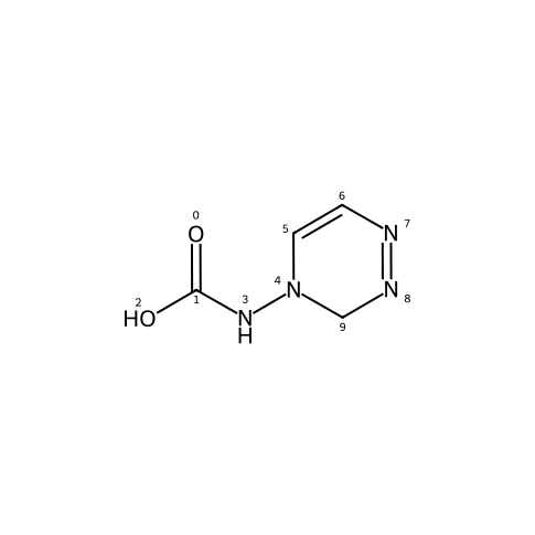 O=C(O)NN1C=CN=NC1